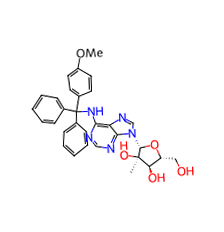 COc1ccc(C(Nc2ncnc3c2ncn3[C@@H]2O[C@H](CO)[C@@H](O)[C@@]2(C)O)(c2ccccc2)c2ccccc2)cc1